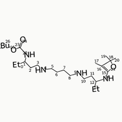 CCC(CCNCCCCNCCC(CC)NC1=C(C)C(C)(C)O1)NC(=O)OC(C)(C)C